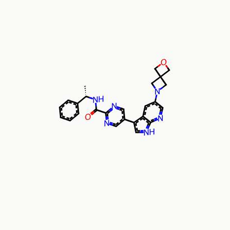 C[C@H](NC(=O)c1ncc(-c2c[nH]c3ncc(N4CC5(COC5)C4)cc23)cn1)c1ccccc1